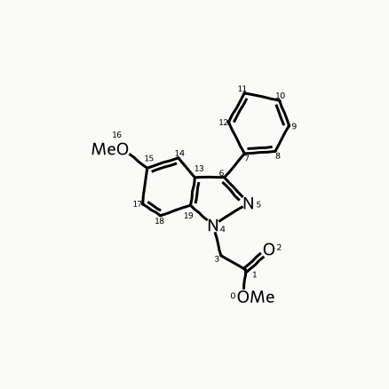 COC(=O)Cn1nc(-c2ccccc2)c2cc(OC)ccc21